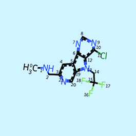 CNCc1cc2c3ncnc(Cl)c3n(CC(F)(F)F)c2cn1